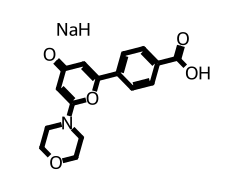 O=C(O)c1ccc(-c2cc(=O)cc(N3CCOCC3)o2)cc1.[NaH]